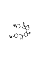 N#Cc1ccc(CNc2ccc(F)c(-c3ccnc4[nH]c(C5CCNCC5)cc34)c2)cc1